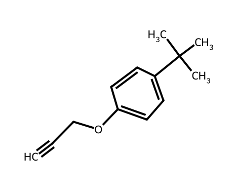 C#CCOc1ccc(C(C)(C)C)cc1